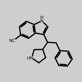 N#Cc1ccc2[nH]cc(C(Cc3ccccc3)C3CCNC3)c2c1